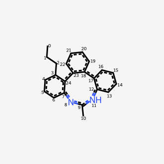 CCCc1cccc2nc(C)[nH]c3ccccc3c3ccccc3c12